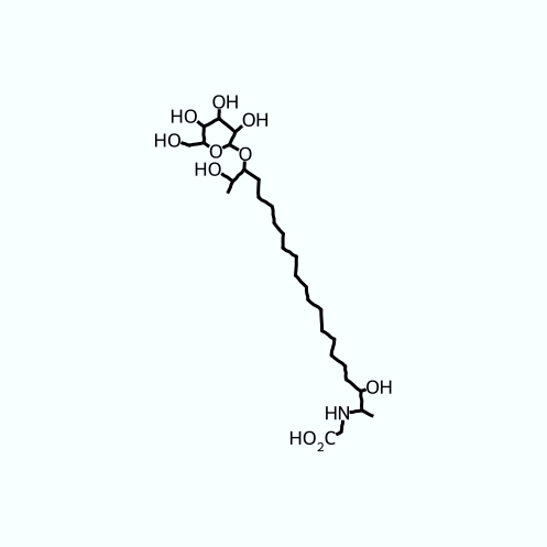 CC(O)C(CCCCCCCCCCCCCCCCC(O)C(C)NCC(=O)O)OC1OC(CO)C(O)C(O)C1O